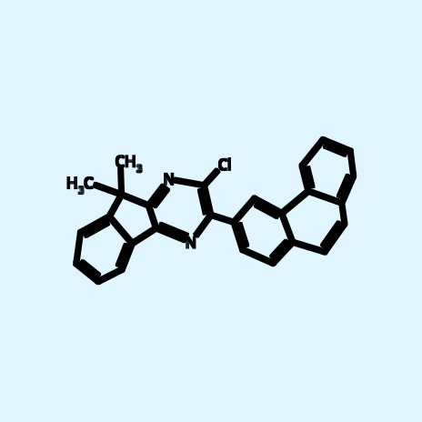 CC1(C)c2ccccc2-c2nc(-c3ccc4ccc5ccccc5c4c3)c(Cl)nc21